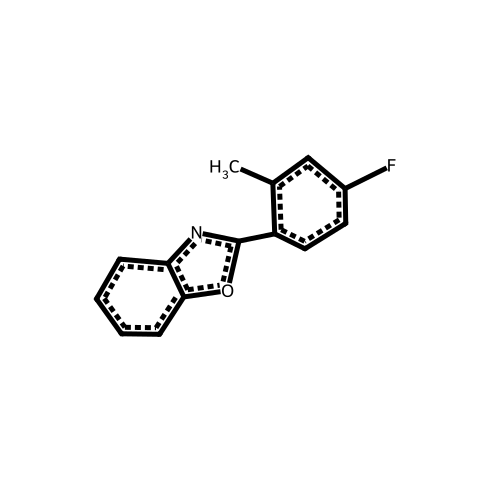 Cc1cc(F)ccc1-c1nc2ccccc2o1